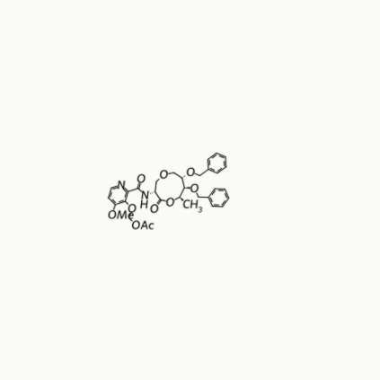 COc1ccnc(C(=O)N[C@@H]2COC[C@H](OCc3ccccc3)[C@@H](OCc3ccccc3)[C@@H](C)OC2=O)c1OCOC(C)=O